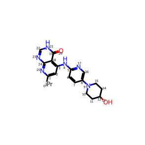 CC(C)c1cc(Nc2ccc(N3CCC(O)CC3)cn2)c2c(=O)[nH]cnc2n1